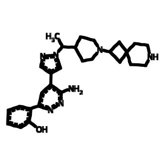 CC(C1CCN(C2CC3(CCNCC3)C2)CC1)n1cc(-c2cc(-c3ccccc3O)nnc2N)cn1